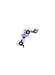 CCc1cc(OC)c(F)c(COC2=CNC(Nc3ccc(OCC4CCN(C)CC4)c(F)c3)N=C2)c1F